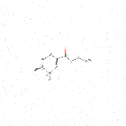 C=CCCC(=O)C1=C[C@H](C)[C@@H](C)CC1